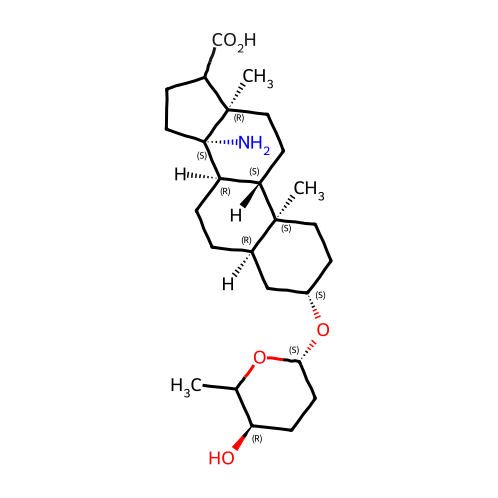 CC1O[C@H](O[C@H]2CC[C@@]3(C)[C@H](CC[C@@H]4[C@@H]3CC[C@]3(C)C(C(=O)O)CC[C@]43N)C2)CC[C@H]1O